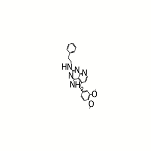 COc1ccc(Cc2ccnc3nc(NCCc4ccccc4)nc(N)c23)cc1OC